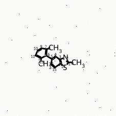 Cc1nc2cc(-c3c(C)cccc3C)ccc2s1